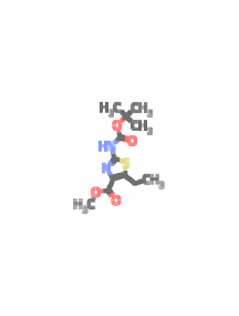 CCc1sc(NC(=O)OC(C)(C)C)nc1C(=O)OC